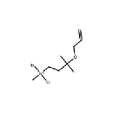 C=CCOC(C)(C)CC[N+](C)(CC)CC